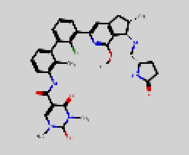 COc1nc(-c2cccc(-c3cccc(NC(=O)C4=CN(C)C(O)N(C)C4=O)c3C)c2Cl)cc2c1[C@@H](NC[C@@H]1CCC(=O)N1)[C@@H](C)C2